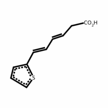 O=C(O)CC=CC=Cc1cccs1